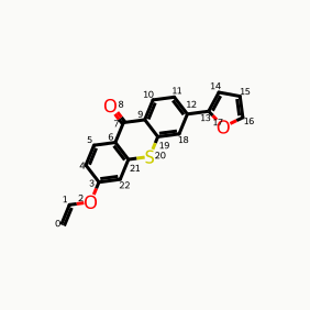 C=COc1ccc2c(=O)c3ccc(-c4ccco4)cc3sc2c1